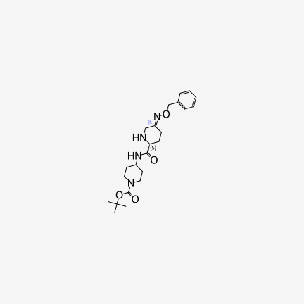 CC(C)(C)OC(=O)N1CCC(NC(=O)[C@@H]2CC/C(=N\OCc3ccccc3)CN2)CC1